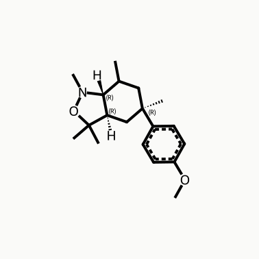 COc1ccc([C@]2(C)CC(C)[C@@H]3[C@@H](C2)C(C)(C)ON3C)cc1